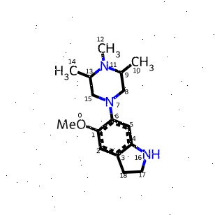 COc1cc2c(cc1N1CC(C)N(C)C(C)C1)NCC2